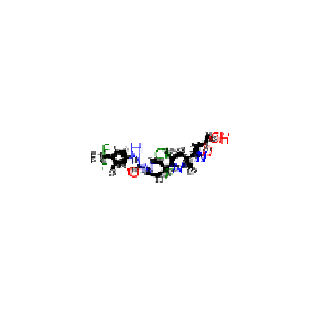 CCC(F)(F)c1ccc(NC(=O)N2CCC(F)(C3=NC(C)C(c4cc(CO)on4)C=C3Cl)CC2)cc1C